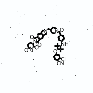 CN1C(=O)CCC(N2C(=O)c3cc4c(cc3C2=O)CN(CC2CCN(C(=O)c3ccc(NC5C(C)(C)C(Oc6ccc(C#N)c(Cl)c6)C5(C)C)cc3)CC2)C4)C1=O